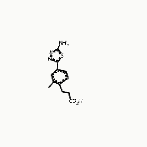 Cc1cc(-c2nnc(N)s2)ccc1CCC(=O)O